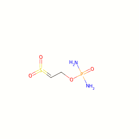 NP(N)(=O)OCC=S(=O)=O